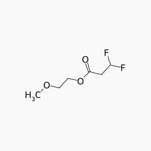 COCCOC(=O)CC(F)F